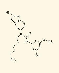 CCCCCCN(C(=O)Nc1cc(O)cc(OC)c1)c1ccc2nc(S)sc2c1